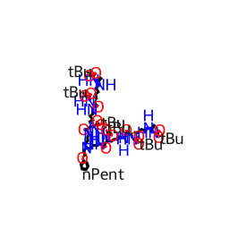 C=C(NCCCC[C@H](NC(=O)OC(C)(C)C)C(=O)NCCCC[C@H](NC(=O)OC(C)(C)C)C(=O)NCCCN(CCCNC(=O)[C@H](CCCCNC(=O)[C@H](CCCCNC(=C)NC(=O)OC(C)(C)C)NC(=O)OC(C)(C)C)NC(=O)OC(C)(C)C)CCOc1ccc(CCCCC)cc1)NC(=O)OC(C)(C)C